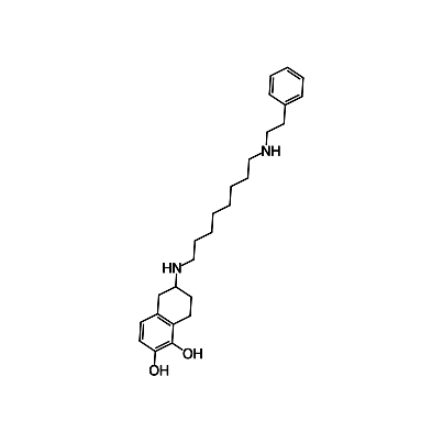 Oc1ccc2c(c1O)CCC(NCCCCCCCCNCCc1ccccc1)C2